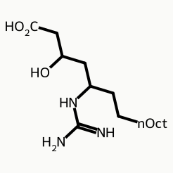 CCCCCCCCCCC(CC(O)CC(=O)O)NC(=N)N